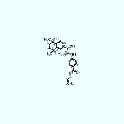 C=CCOC(=O)c1ccc(NC(=O)C(O)c2ccc3c(c2)C(C)(C)CCC3(C)C)cc1